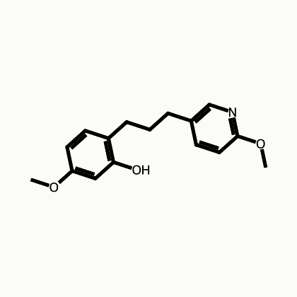 COc1ccc(CCCc2ccc(OC)nc2)c(O)c1